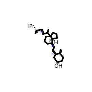 C=C1CC[C@H](O)C/C1=C/C=C1\CCCC2(C(C)/C=C/[C@H](C)C(C)C)CCC[C@@H]12